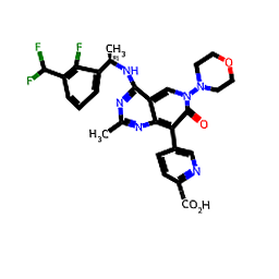 Cc1nc(N[C@H](C)c2cccc(C(F)F)c2F)c2cn(N3CCOCC3)c(=O)c(-c3ccc(C(=O)O)nc3)c2n1